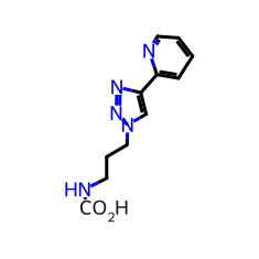 O=C(O)NCCCn1cc(-c2ccccn2)nn1